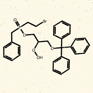 O=P(CCBr)(Cc1ccccc1)OCC(COC(c1ccccc1)(c1ccccc1)c1ccccc1)OO